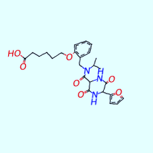 CC(C)N(Cc1ccccc1OCCCCCC(=O)O)C(=O)C1NC(=O)C(c2ccco2)NC1=O